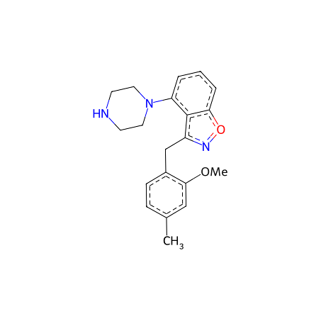 COc1cc(C)ccc1Cc1noc2cccc(N3CCNCC3)c12